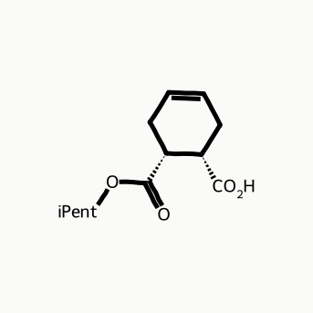 CCCC(C)OC(=O)[C@@H]1CC=CC[C@@H]1C(=O)O